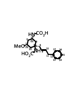 CO[C@H]1C[C@@H](NC(=O)O)C[C@@](CC=CCc2ccccc2)(NC(=O)O)C1